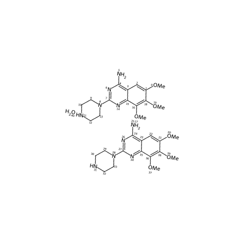 COc1cc2c(N)nc(N3CCNCC3)nc2c(OC)c1OC.COc1cc2c(N)nc(N3CCNCC3)nc2c(OC)c1OC.O